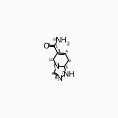 NC(=O)C1=CCC2NN=CN2C1